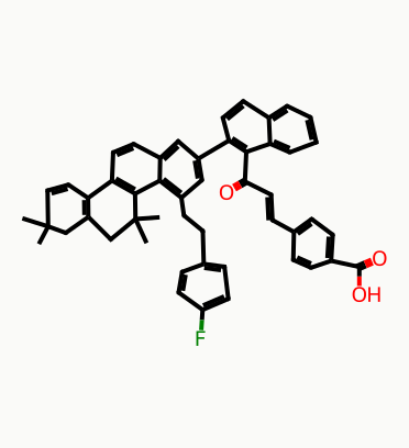 CC1(C)C=CC2=C(C1)CC(C)(C)c1c2ccc2cc(-c3ccc4ccccc4c3C(=O)C=Cc3ccc(C(=O)O)cc3)cc(CCc3ccc(F)cc3)c12